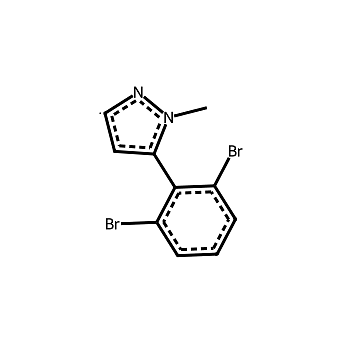 Cn1n[c]cc1-c1c(Br)cccc1Br